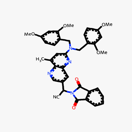 COc1ccc(CN(Cc2ccc(OC)cc2OC)c2cc(C)c3ncc(C(C#N)N4C(=O)c5ccccc5C4=O)cc3n2)c(OC)c1